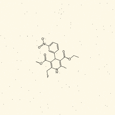 CCOC(=O)C1=C(C)NC(CF)=C(C(=O)OC)C1c1cccc([N+](=O)[O-])c1